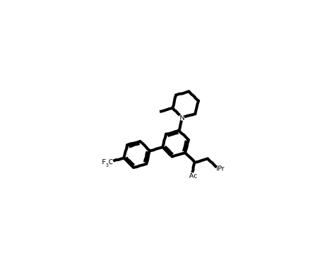 CC(=O)C(CC(C)C)c1cc(-c2ccc(C(F)(F)F)cc2)cc(N2CCCCC2C)c1